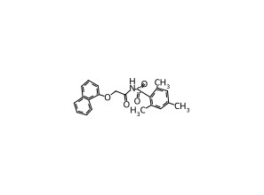 Cc1cc(C)c(S(=O)(=O)NC(=O)COc2cccc3ccccc23)c(C)c1